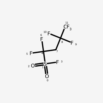 O=S(=O)(F)C(F)(F)CC(F)(F)C(F)(F)F